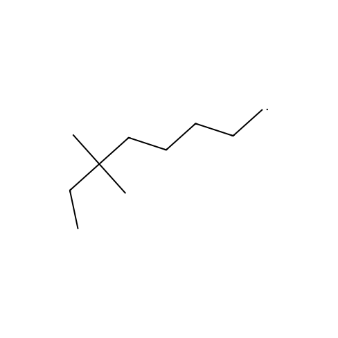 [CH2]CCCCC(C)(C)CC